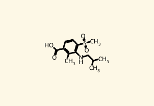 Cc1c(C(=O)O)ccc(S(C)(=O)=O)c1NCC(C)C